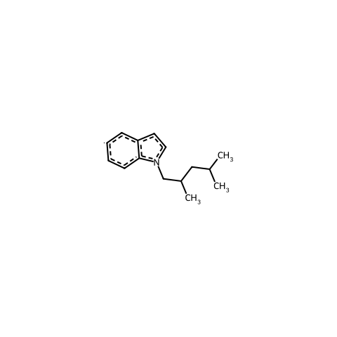 CC(C)CC(C)Cn1ccc2c[c]ccc21